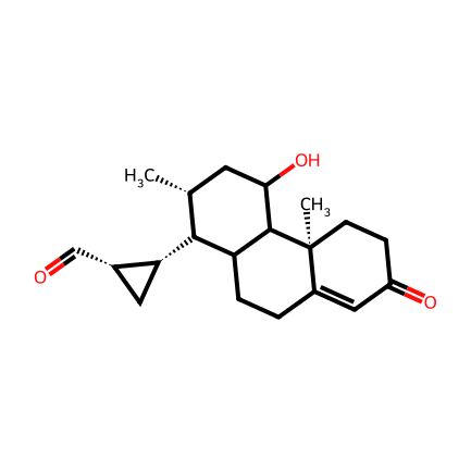 C[C@@H]1CC(O)C2C(CCC3=CC(=O)CC[C@@]32C)C1[C@@H]1C[C@@H]1C=O